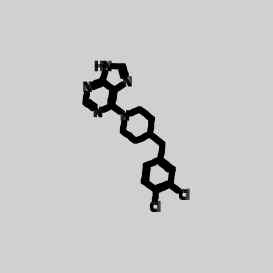 Clc1ccc(CC2CCN(c3ncnc4[nH]cnc34)CC2)cc1Cl